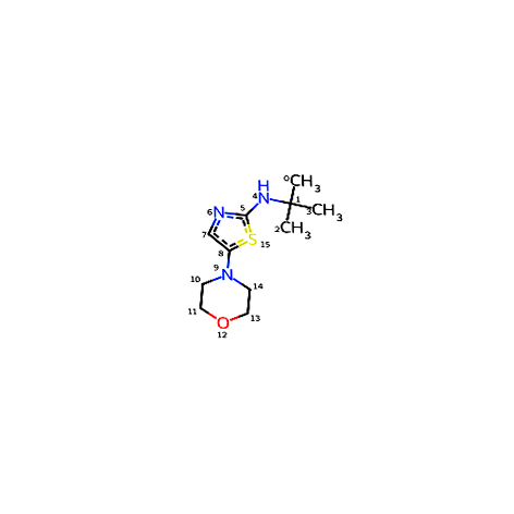 CC(C)(C)Nc1ncc(N2CCOCC2)s1